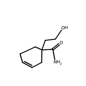 NC(=O)C1(CCO)CC=CCC1